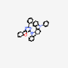 c1ccc(-c2nc(-n3c4ccccc4c4ccc5c(c6ccccc6n5-c5ccccc5)c43)c3oc4ccccc4c3n2)cc1